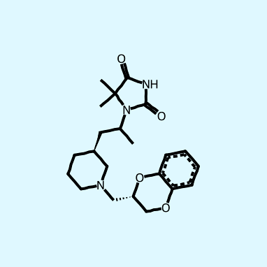 CC(C[C@@H]1CCCN(C[C@H]2COc3ccccc3O2)C1)N1C(=O)NC(=O)C1(C)C